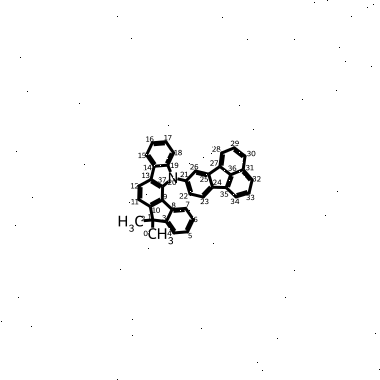 CC1(C)c2ccccc2-c2c1ccc1c3ccccc3n(-c3ccc4c(c3)-c3cccc5cccc-4c35)c21